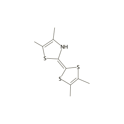 CC1=C(C)SC(=C2SC(C)=C(C)S2)N1